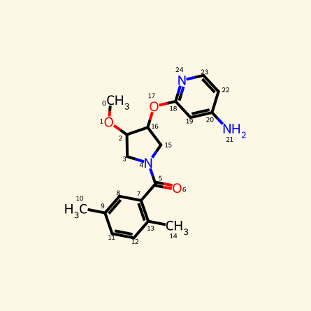 COC1CN(C(=O)c2cc(C)ccc2C)CC1Oc1cc(N)ccn1